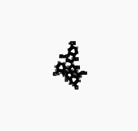 COc1cc(C#N)ccc1NC(=O)[C@@H]1N[C@@H](CC(C)(C)C)C2(C(=O)Nc3cc(Cl)cc(F)c32)[C@@H]1c1cccc(Cl)c1F